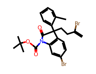 C=C(Br)CCC1(c2ccccc2C)C(=O)N(C(=O)OC(C)(C)C)c2cc(Br)ccc21